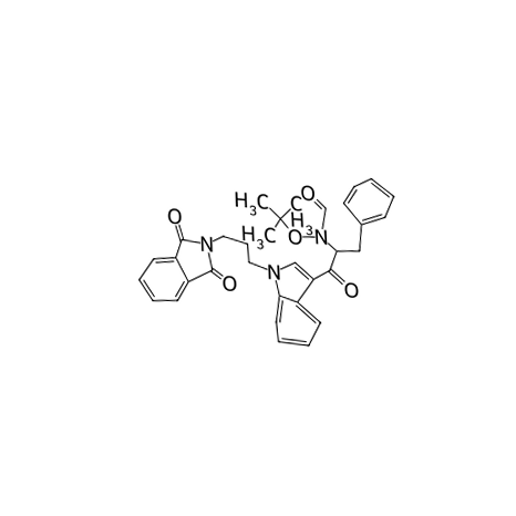 CC(C)(C)ON(C=O)C(Cc1ccccc1)C(=O)c1cn(CCCN2C(=O)c3ccccc3C2=O)c2ccccc12